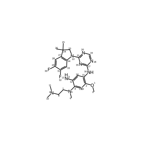 COc1nc(N(C)CCN(C)C)c(N)cc1Nc1ncnc(N2CC(C)(C)c3cc(F)c(F)cc32)n1